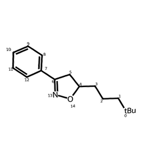 CC(C)(C)CCCC1CC(c2ccccc2)=NO1